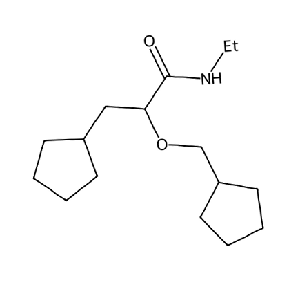 CCNC(=O)C(CC1CCCC1)OCC1CCCC1